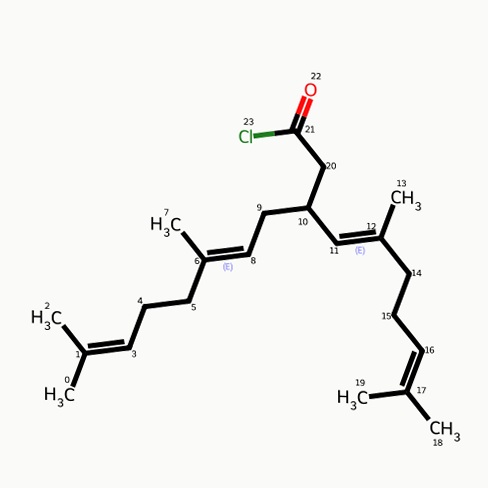 CC(C)=CCC/C(C)=C/CC(/C=C(\C)CCC=C(C)C)CC(=O)Cl